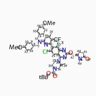 COc1ccc(CN(Cc2ccc(OC)cc2)c2cc(C)c(C(F)(F)F)c(-c3c(Cl)cc4c(N5CCN(C(=O)OC(C)(C)C)C[C@@H]5C)nc(OC[C@@H]5CCC(=O)N5C)nc4c3F)n2)cc1